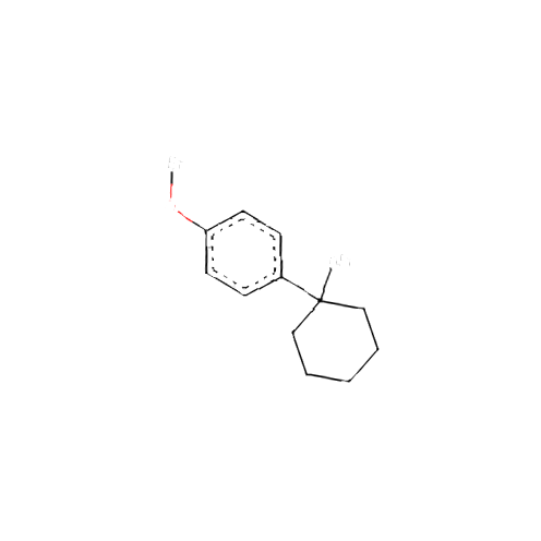 CCCC1(c2ccc(OCC)cc2)CCCCC1